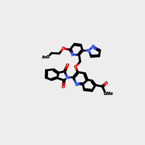 COC(=O)c1ccc2nc(N3C(=O)c4ccccc4C3=O)c(OCc3nc(OCCOC(C)=O)ccc3-n3cccn3)cc2c1